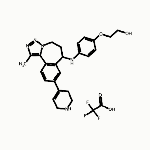 Cc1nnn2c1-c1ccc(C3=CCNCC3)cc1C(Nc1ccc(OCCO)cc1)CC2.O=C(O)C(F)(F)F